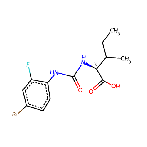 CCC(C)[C@H](NC(=O)Nc1ccc(Br)cc1F)C(=O)O